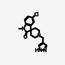 CN1C(=O)C2(CCN(Cc3cn[nH]c3)CC2)c2cc(Cl)ccc21